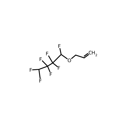 C=CCOC(F)C(F)(F)C(F)(F)C(F)F